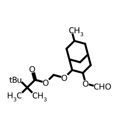 CC1CC2CC(C1)C(OCOC(=O)C(C)(C)C(C)(C)C)C(OC=O)C2